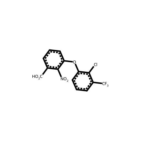 O=C(O)c1cccc(Oc2cccc(C(F)(F)F)c2Cl)c1[N+](=O)[O-]